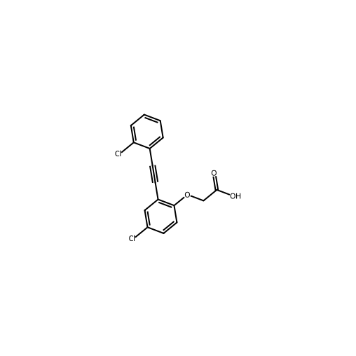 O=C(O)COc1ccc(Cl)cc1C#Cc1ccccc1Cl